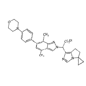 CCOC(=O)C(c1ncn2c1CCC21CC1)n1cc2c(C(F)(F)F)cc(-c3ccc(N4CCOCC4)cc3)c(C)c2n1